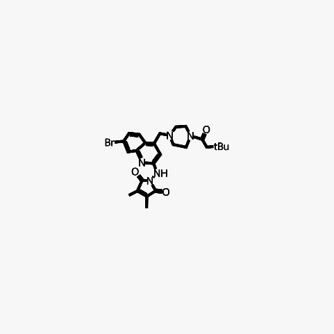 CC1=C(C)C(=O)N(Nc2cc(CN3CCN(C(=O)CC(C)(C)C)CC3)c3ccc(Br)cc3n2)C1=O